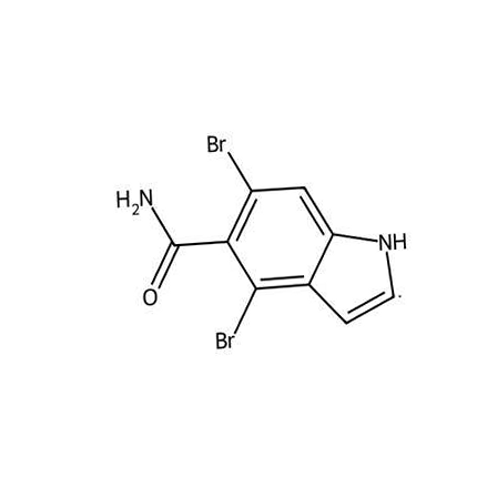 NC(=O)c1c(Br)cc2[nH][c]cc2c1Br